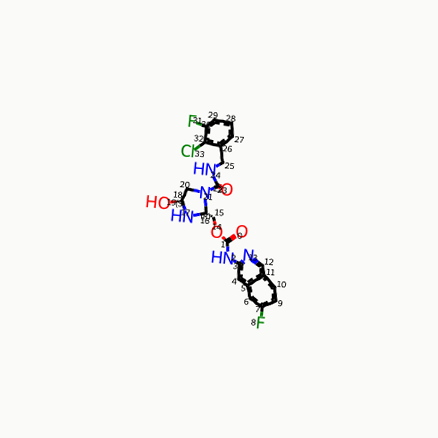 O=C(Nc1cc2cc(F)ccc2cn1)OC[C@@H]1N[C@@H](O)CN1C(=O)NCc1cccc(F)c1Cl